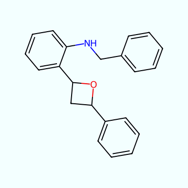 c1ccc(CNc2ccccc2C2CC(c3ccccc3)O2)cc1